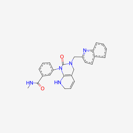 CNC(=O)c1cccc(N2C(=O)N(Cc3ccc4ccccc4n3)CC3=C2NCC=C3)c1